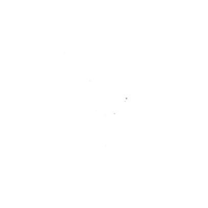 CCCCCCCc1ccc(OCc2n[nH]c(=S)n2-c2cccc(OC)c2)cc1